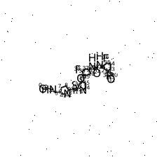 COCCNCc1ccc(-c2cc3nccc(Oc4ccc(NC(=O)Nc5cc(P(C)(C)=O)ccc5F)cc4F)c3s2)nc1